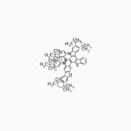 CC(C)(C)c1ccc(N2B3c4cc(C(C)(C)C)ccc4-n4c5cc6c(cc5c5c7c(sc8ccccc87)c(c3c54)-c3cc4oc5cc7c(cc5c4cc32)C(C)(C)CCC7(C)C)C(C)(C)CCC6(C)C)cc1